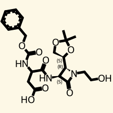 CC1(C)OC[C@H]([C@H]2[C@H](NC(=O)C(CC(=O)O)NC(=O)OCc3ccccc3)C(=O)N2CCO)O1